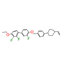 C=CC1CCC(c2ccc(COc3ccc(-c4ccc(OCC)c(F)c4F)cc3F)cc2)CC1